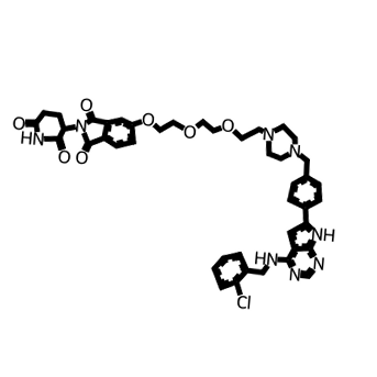 O=C1CCC(N2C(=O)c3ccc(OCCOCCOCCN4CCN(Cc5ccc(-c6cc7c(NCc8ccccc8Cl)ncnc7[nH]6)cc5)CC4)cc3C2=O)C(=O)N1